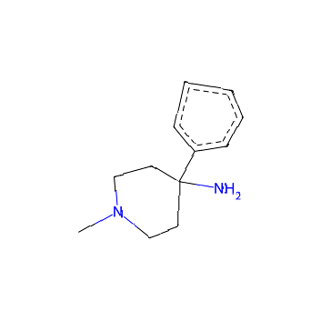 CN1CCC(N)(c2ccccc2)CC1